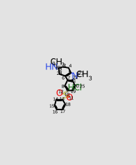 CN[C@@H]1CCc2c(c3cc(S(=O)(=O)c4ccccc4)ccc3n2C)C1.Cl